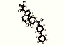 CN1CCn2c(C(=O)C(F)(F)F)ccc2C12CCN(C(=O)c1ccc(-c3ccccc3)cc1)CC2